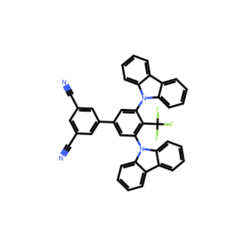 N#Cc1cc(C#N)cc(-c2cc(-n3c4ccccc4c4ccccc43)c(C(F)(F)F)c(-n3c4ccccc4c4ccccc43)c2)c1